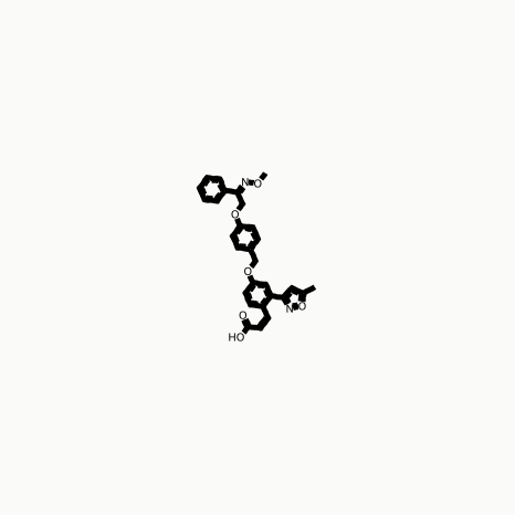 CO/N=C(\COc1ccc(COc2ccc(/C=C\C(=O)O)c(-c3cc(C)on3)c2)cc1)c1ccccc1